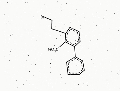 O=C(O)c1c(CCBr)cccc1-c1ccccc1